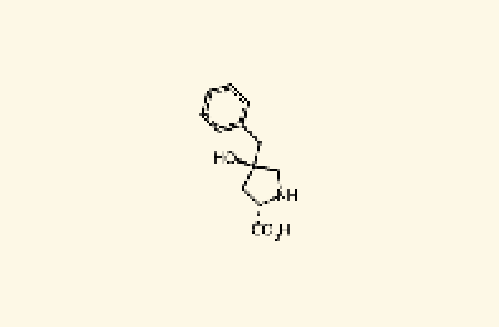 O=C(O)[C@@H]1C[C@](O)(Cc2ccccc2)CN1